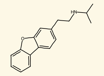 CC(C)NCCc1ccc2c(c1)oc1ccccc12